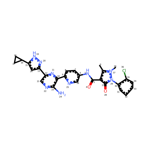 Cc1c(C(=O)Nc2ccc(-c3nc(-c4cc(C5CC5)[nH]n4)cnc3N)nc2)c(=O)n(-c2ccccc2Cl)n1C